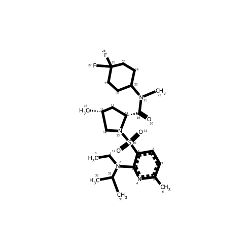 CCN(c1nc(C)ccc1S(=O)(=O)N1C[C@H](C)C[C@@H]1C(=O)N(C)C1CCC(F)(F)CC1)C(C)C